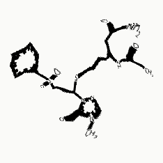 CC(=O)NC(CCSC(CS(=O)(=O)c1ccccc1)n1ncn(C)c1=O)C(N)=O